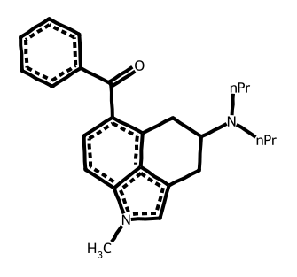 CCCN(CCC)C1Cc2cn(C)c3ccc(C(=O)c4ccccc4)c(c23)C1